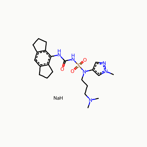 CN(C)CCCN(c1cnn(C)c1)S(=O)(=O)NC(=O)Nc1c2c(cc3c1CCC3)CCC2.[NaH]